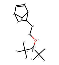 CC(C)(C)[SiH](OCCC1CC2C=CC1C2)C(C)(C)C